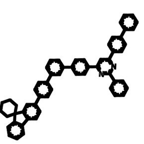 c1ccc(-c2ccc(-c3cc(-c4ccc(-c5cccc(-c6ccc(-c7ccc8c(c7)C7(CCCCC7)c7ccccc7-8)cc6)c5)cc4)nc(-c4ccccc4)n3)cc2)cc1